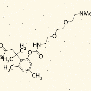 CNCCOCCOCCNC(=O)Oc1cc(C)cc(C)c1C(C)(C)CC(=O)Br